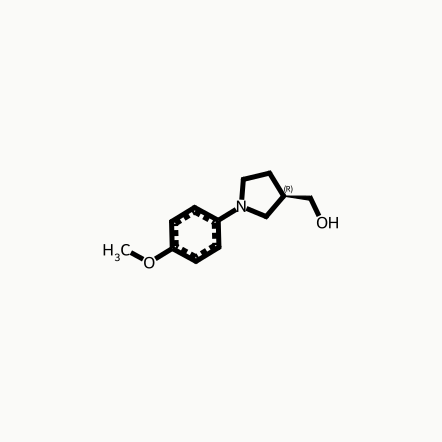 COc1ccc(N2CC[C@@H](CO)C2)cc1